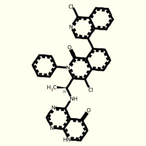 C[C@H](Nc1ncnc2[nH]ccc(=O)c12)c1c(Cl)c2cccc(-c3cnc(Cl)c4ccccc34)c2c(=O)n1-c1ccccc1